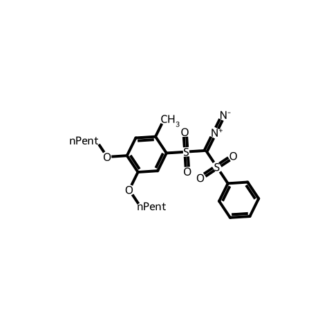 CCCCCOc1cc(C)c(S(=O)(=O)C(=[N+]=[N-])S(=O)(=O)c2ccccc2)cc1OCCCCC